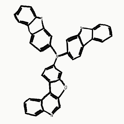 c1ccc2c(c1)ncc1oc3cc(N(c4ccc5c(c4)sc4ccccc45)c4ccc5c(c4)sc4ccccc45)ccc3c12